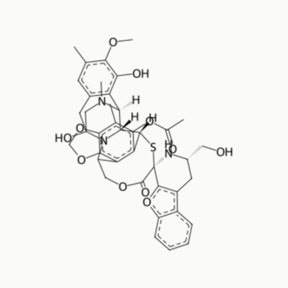 COc1c(C)cc2c(c1O)[C@H]1[C@@H]3[C@@H]4S[C@]5(N[C@H](CO)Cc6c5oc5ccccc65)C(=O)OCC(c5c6c(c(C)c(OC(C)=O)c54)OCO6)N3C(O)(C2)CN1C